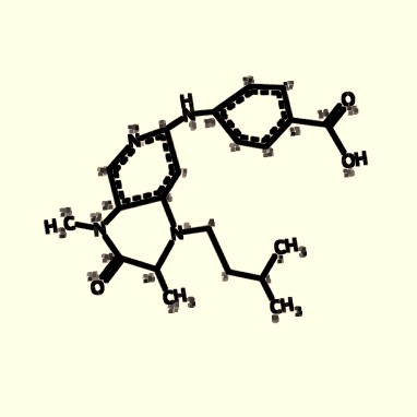 CC(C)CCN1c2cc(Nc3ccc(C(=O)O)cc3)ncc2N(C)C(=O)C1C